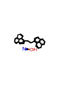 C1=Cc2c(CCc3ccc4cccc5c4c3C=CC5)ccc3cccc(c23)C1.N#CO